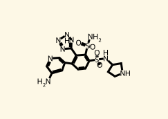 Nc1cncc(-c2ccc(S(=O)(=O)NC3CCNC3)c(S(N)(=O)=O)c2-c2nn[nH]n2)c1